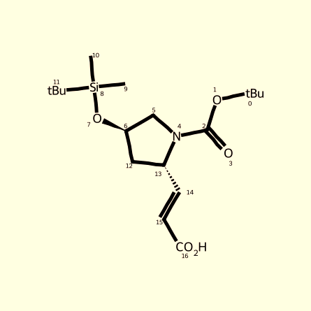 CC(C)(C)OC(=O)N1C[C@H](O[Si](C)(C)C(C)(C)C)C[C@H]1C=CC(=O)O